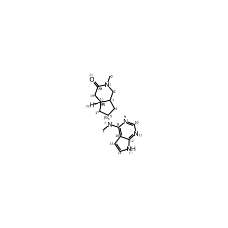 CN1CC2C[C@H](N(C)c3ncnc4[nH]ccc34)C[C@@H]2CC1=O